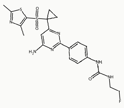 Cc1nc(C)c(S(=O)(=O)C2(c3cc(N)nc(-c4ccc(NC(=O)NCCF)cc4)n3)CC2)s1